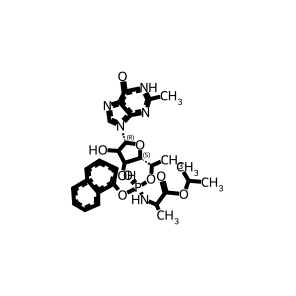 Cc1nc2c(ncn2[C@@H]2O[C@H](C(C)OP(=O)(NC(C)C(=O)OC(C)C)Oc3cccc4ccccc34)C(O)C2O)c(=O)[nH]1